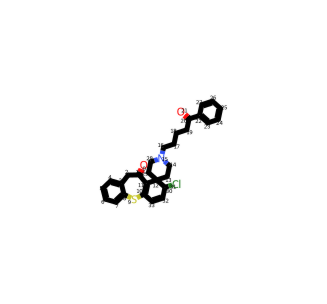 O=C1Cc2ccccc2SC2=C1C1(CCN(CCCCC(=O)c3ccccc3)CC1)C(Cl)C=C2